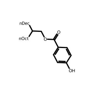 CCCCCCCCCCC(CCCCCCCC)COC(=O)c1ccc(O)cc1